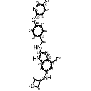 Fc1cc(NC2COC2)cc2[nH]c(NCc3ccc(Oc4ccc(Cl)cn4)cc3)nc12